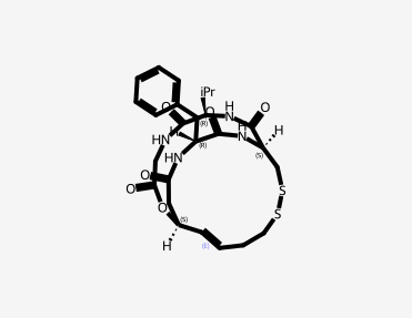 CC(C)[C@H]1NC(=O)[C@H]2CSSCC/C=C/[C@H](CC(=O)N[C@H](Cc3ccccc3)C(=O)N2)OC(=O)CNC1=O